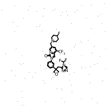 O=c1n(-c2cccc(C3(Cc4nncn4C(F)F)COC3)c2)cc2c(C(F)(F)F)cc(CN3CCC(F)CC3)cn12